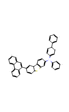 C1=CC2Sc3cc(N(C4=CCC(c5ccccc5)C=C4)c4ccccc4)ccc3C2C=C1c1cc2ccccc2c2ccccc12